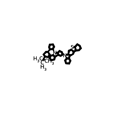 CC(C)(C)c1ccc(-c2ccccc2-n2c3ccccc3c3cc(-n4c5ccccc5c5cc6c(cc54)sc4ccccc46)ccc32)cc1